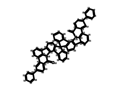 C=c1c2ccc(-c3ccccc3)cc2c2cccc3c4ccc5c(c4n1c23)-c1ccccc1C51c2ccccc2-c2c1ccc1c3cccc4c5cc(-c6ccccc6)ccc5c(=O)n(c21)c43